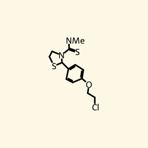 CNC(=S)N1CCSC1c1ccc(OCCCl)cc1